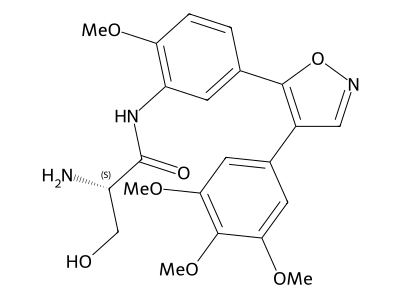 COc1ccc(-c2oncc2-c2cc(OC)c(OC)c(OC)c2)cc1NC(=O)[C@@H](N)CO